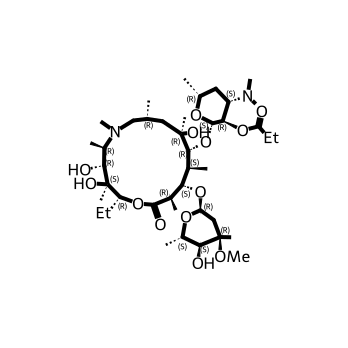 CCC(=O)O[C@H]1[C@H](O[C@@H]2[C@@H](C)[C@H](O[C@H]3C[C@@](C)(OC)[C@@H](O)[C@H](C)O3)[C@@H](C)C(=O)O[C@H](CC)[C@@](C)(O)[C@H](O)[C@@H](C)N(C)C[C@H](C)C[C@@]2(C)O)O[C@H](C)C[C@@H]1N(C)C